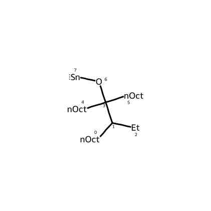 CCCCCCCCC(CC)C(CCCCCCCC)(CCCCCCCC)[O][Sn]